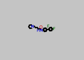 O=C(CCCCN1CCCCC1)Nc1ccc(-c2ccc(F)cc2F)cc1